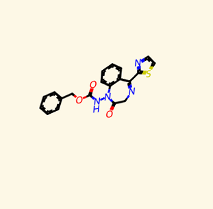 O=C(NN1C(=O)CN=C(c2nccs2)c2ccccc21)OCc1ccccc1